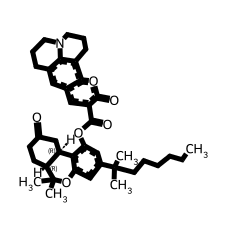 CCCCCCC(C)(C)c1cc(OC(=O)c2cc3cc4c5c(c3oc2=O)CCCN5CCC4)c2c(c1)OC(C)(C)[C@@H]1CCC(=O)C[C@@H]21